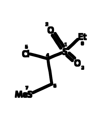 CCS(=O)(=O)C(Cl)CSC